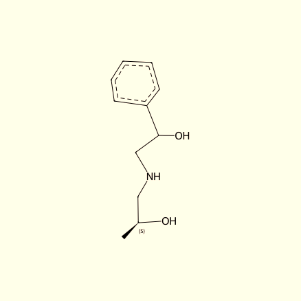 C[C@H](O)CNCC(O)c1ccccc1